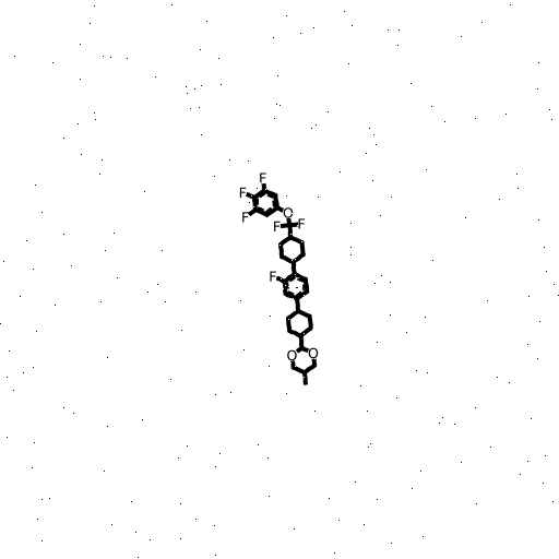 CC1COC(C2CCC(c3ccc(C4CCC(C(F)(F)Oc5cc(F)c(F)c(F)c5)CC4)c(F)c3)CC2)OC1